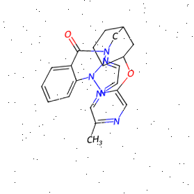 Cc1cnc(OC2CC3CCC2N(C(=O)c2ccccc2-n2nccn2)C3)cn1